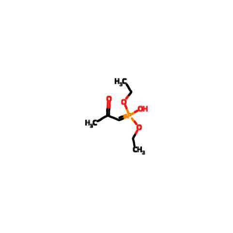 CCOP(O)(=CC(C)=O)OCC